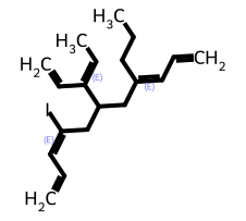 C=C/C=C(/I)CC(C/C(=C/C=C)CCC)/C(C=C)=C/C